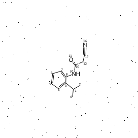 CC(C)c1ccccc1NC(=O)CC#N